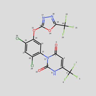 O=c1cc(C(F)(F)F)[nH]c(=O)n1-c1cc(Oc2nnc(C(F)(F)F)o2)c(Cl)cc1Cl